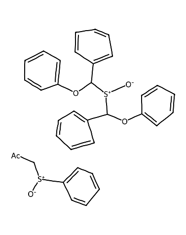 CC(=O)C[S+]([O-])c1ccccc1.[O-][S+](C(Oc1ccccc1)c1ccccc1)C(Oc1ccccc1)c1ccccc1